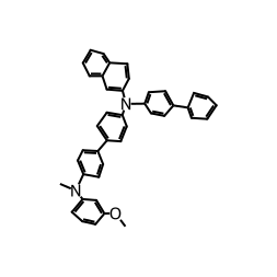 COc1cccc(N(C)c2ccc(-c3ccc(N(c4ccc(-c5ccccc5)cc4)c4ccc5ccccc5c4)cc3)cc2)c1